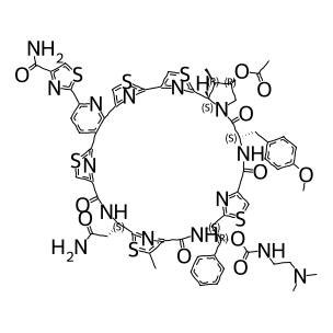 COc1ccc(C[C@@H]2NC(=O)c3csc(n3)[C@H]([C@H](OC(=O)NCCN(C)C)c3ccccc3)NC(=O)c3nc(sc3C)[C@H](CC(N)=O)NC(=O)c3csc(n3)-c3ccc(-c4nc(C(N)=O)cs4)nc3-c3csc(n3)-c3csc(n3)[C@@H]3[C@@H](C)[C@@H](OC(C)=O)CN3C2=O)cc1